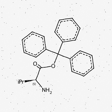 CC(C)[C@H](N)C(=O)OC(c1ccccc1)(c1ccccc1)c1ccccc1